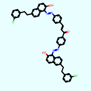 O=C(C=Cc1ccc(N=Nc2c(O)ccc3cc(CCc4cccc(Cl)c4)ccc23)cc1)c1ccc(N=Nc2c(O)ccc3cc(CCc4cccc(Cl)c4)ccc23)cc1